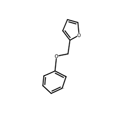 [c]1cccc(OCc2ccco2)c1